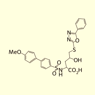 COc1ccc(-c2ccc(S(=O)(=O)NC(CC(O)CSc3nnc(-c4ccccc4)o3)C(=O)O)cc2)cc1